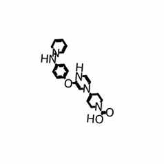 O=C(O)N1CC=C(N2C=CNC(Oc3ccc(NN4C=CC=CC4)cc3)=C2)CC1